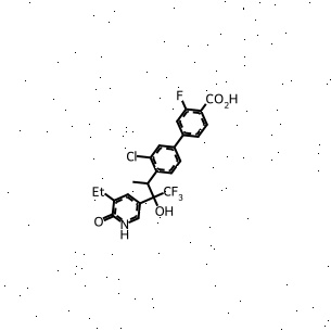 CCc1cc(C(O)(C(C)c2ccc(-c3ccc(C(=O)O)c(F)c3)cc2Cl)C(F)(F)F)c[nH]c1=O